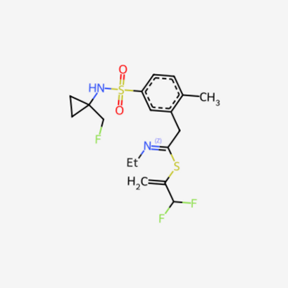 C=C(S/C(Cc1cc(S(=O)(=O)NC2(CF)CC2)ccc1C)=N\CC)C(F)F